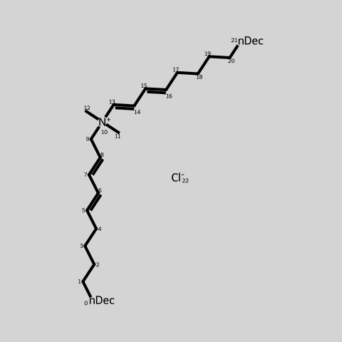 CCCCCCCCCCCCCCC=CC=CC[N+](C)(C)C=CC=CCCCCCCCCCCCCCC.[Cl-]